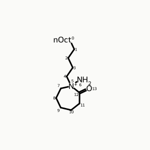 CCCCCCCCCCCC[N+]1(N)CCCCCC1=O